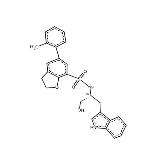 Cc1ccccc1-c1cc2c(c(S(=O)(=O)N[C@@H](CO)Cc3c[nH]c4ccccc34)c1)OCC2